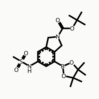 CC(C)(C)OC(=O)N1Cc2cc(NS(C)(=O)=O)cc(B3OC(C)(C)C(C)(C)O3)c2C1